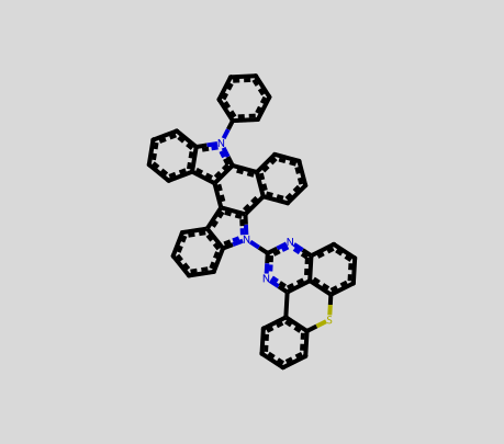 c1ccc(-n2c3ccccc3c3c4c5ccccc5n(-c5nc6c7c(cccc7n5)Sc5ccccc5-6)c4c4ccccc4c32)cc1